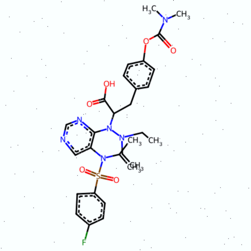 CCN(CC)N(c1ncncc1N(C(C)C)S(=O)(=O)c1ccc(F)cc1)C(Cc1ccc(OC(=O)N(C)C)cc1)C(=O)O